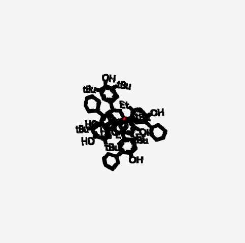 CCc1cc(O)c(C2CCCCC2)cc1C(C)CC(CC(CC(c1cc(C(C)(C)C)c(O)c(C(C)(C)C)c1)c1cc(C(C)(C)C)c(O)c(C(C)(C)C)c1)c1cc(C(C)(C)C)c(O)c(C(C)(C)C)c1)(c1cc(C2CCCCC2)c(O)cc1CC)c1cc(C2CCCCC2)c(O)cc1CC